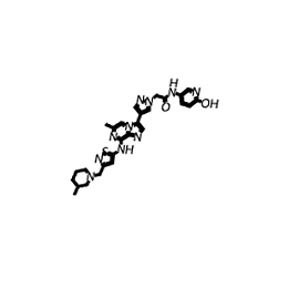 Cc1cn2c(-c3cnn(CC(=O)Nc4ccc(O)nc4)c3)cnc2c(Nc2cc(CN3CCCC(C)C3)ns2)n1